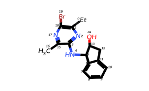 CCc1nc(NC2c3ccccc3CC2O)c(C)nc1Br